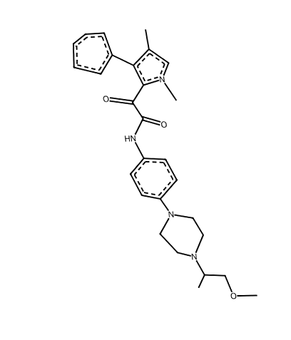 COCC(C)N1CCN(c2ccc(NC(=O)C(=O)c3c(-c4ccccc4)c(C)cn3C)cc2)CC1